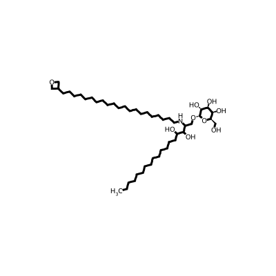 CCCCCCCCCCCCCCC(O)C(O)C(CO[C@H]1O[C@H](CO)[C@H](O)[C@H](O)[C@H]1O)NCCCCCCCCCCCCCCCCCCCCCC1COC1